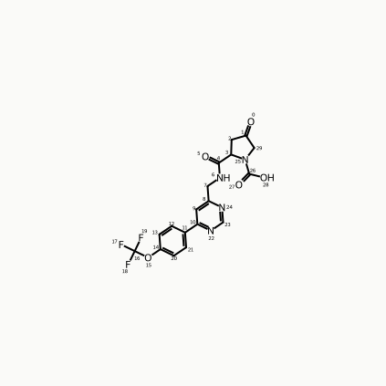 O=C1CC(C(=O)NCc2cc(-c3ccc(OC(F)(F)F)cc3)ncn2)N(C(=O)O)C1